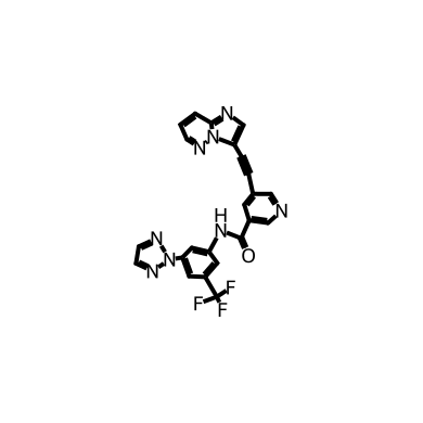 O=C(Nc1cc(-n2nccn2)cc(C(F)(F)F)c1)c1cncc(C#Cc2cnc3cccnn23)c1